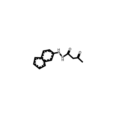 CC(=O)CC(=O)NNc1ccc2ccccc2c1